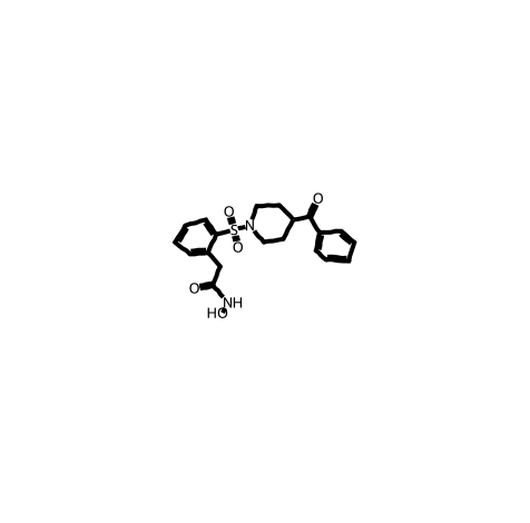 O=C(Cc1ccccc1S(=O)(=O)N1CCC(C(=O)c2ccccc2)CC1)NO